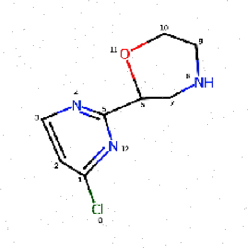 Clc1ccnc(C2CNCCO2)n1